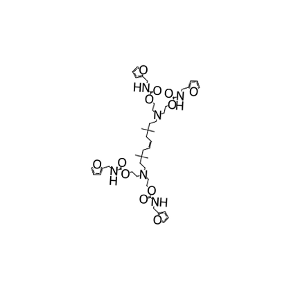 CC(C)(C/C=C\CC(C)(C)CCN(CCOC(=O)NCc1ccco1)CCOC(=O)NCc1ccco1)CCN(CCOC(=O)NCc1ccco1)CCOC(=O)NCc1ccco1